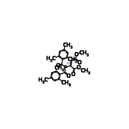 COC(=O)/C=C(\C(=O)OC)P(C(=O)c1c(C)cc(C)cc1C)C(=O)c1c(C)cc(C)cc1C